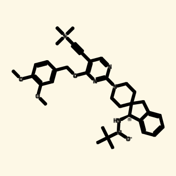 COc1ccc(COc2nc(N3CCC4(CC3)Cc3ccccc3[C@H]4N[S+]([O-])C(C)(C)C)ncc2C#C[Si](C)(C)C)cc1OC